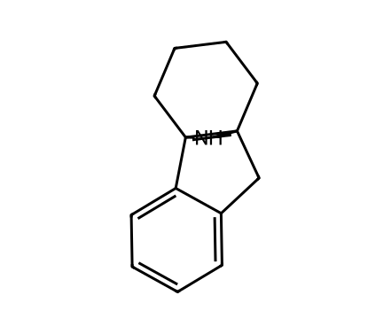 c1ccc2c(c1)CC13CCCCC21NCCC3